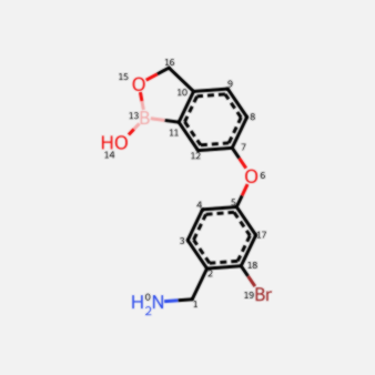 NCc1ccc(Oc2ccc3c(c2)B(O)OC3)cc1Br